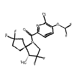 O=C(c1ccc(OC(F)F)c(Cl)n1)N1CC(F)(F)[C@H](O)[C@@]12CCC(F)(F)C2